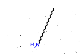 CCCCCCCCCCCCCCC/C=C/C=C/CN